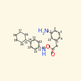 Nc1cccc(CC(=O)ONc2ccc(C3CCCCC3)cc2)c1